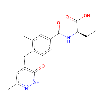 CC[C@@H](NC(=O)c1ccc(Cc2cc(C)n[nH]c2=O)c(C)c1)C(=O)O